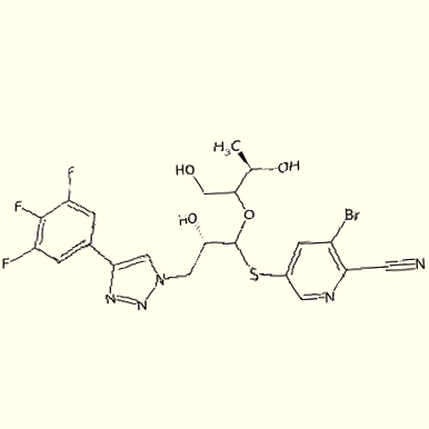 C[C@@H](O)C(CO)OC(Sc1cnc(C#N)c(Br)c1)[C@@H](O)Cn1cc(-c2cc(F)c(F)c(F)c2)nn1